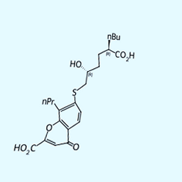 CCCC[C@H](CC[C@@H](O)CSc1ccc2c(=O)cc(C(=O)O)oc2c1CCC)C(=O)O